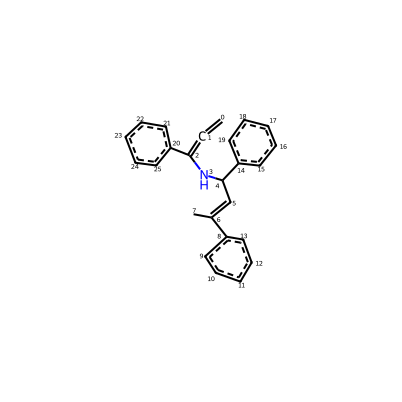 C=C=C(NC(/C=C(\C)c1ccccc1)c1ccccc1)c1ccccc1